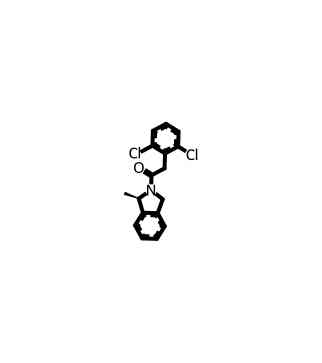 C[C@@H]1c2ccccc2CN1C(=O)Cc1c(Cl)cccc1Cl